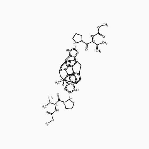 C=C(C)[C@H](NC(=O)OC)C(=O)N1CCC[C@H]1c1nc2cc(-c3cc4ccc3CCc3ccc(c(-c5ccc6[nH]c([C@@H]7CCCN7C(=O)[C@@H](NC(=O)OC)C(C)C)nc6c5)c3)C[C@H]4C)ccc2[nH]1